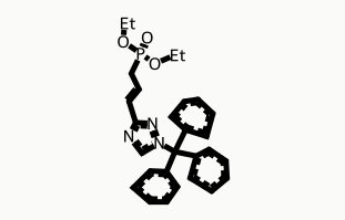 CCOP(=O)(CC=Cc1ncn(C(c2ccccc2)(c2ccccc2)c2ccccc2)n1)OCC